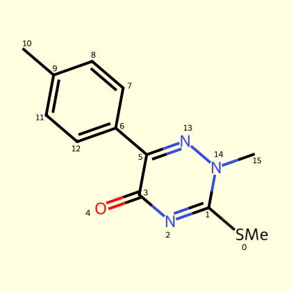 CSc1nc(=O)c(-c2ccc(C)cc2)nn1C